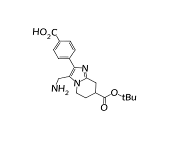 CC(C)(C)OC(=O)C1CCn2c(nc(-c3ccc(C(=O)O)cc3)c2CN)C1